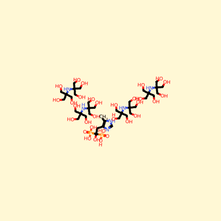 Cc1[nH]cnc1CC(O)(P(=O)(O)O)P(=O)(O)O.OCC(CO)(CO)NC(CO)(CO)CO.OCC(CO)(CO)NC(CO)(CO)CO.OCC(CO)(CO)NC(CO)(CO)CO.OCC(CO)(CO)NC(CO)(CO)CO